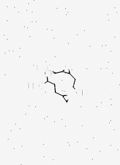 CC(C)CCC1CO1.CCCC1OC1CC